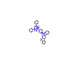 CC1(C)c2ccccc2-c2cc3c4ccccc4n(-c4ccc(-c5nc(-c6ccccc6)cc(-c6ccccc6)n5)cc4)c3cc21